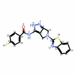 O=C(Nc1[nH]nc2c1CN(c1nc3ccccc3s1)C2)c1ccc(F)cc1